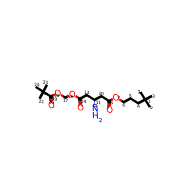 CC(C)(C)CCCOC(=O)C[C@H](N)CC(=O)OCOC(=O)C(C)(C)C